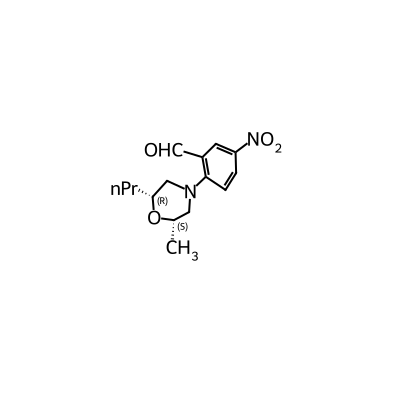 CCC[C@@H]1CN(c2ccc([N+](=O)[O-])cc2C=O)C[C@H](C)O1